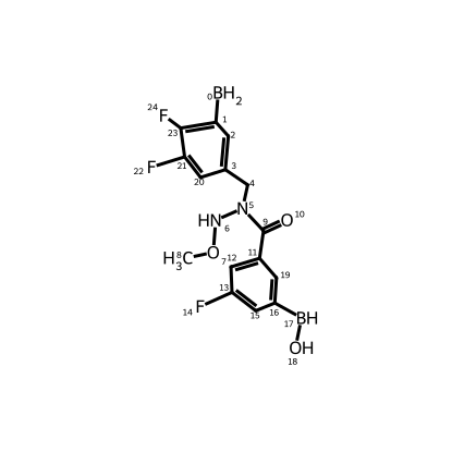 Bc1cc(CN(NOC)C(=O)c2cc(F)cc(BO)c2)cc(F)c1F